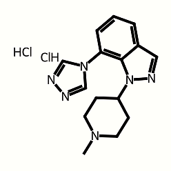 CN1CCC(n2ncc3cccc(-n4cnnc4)c32)CC1.Cl.Cl